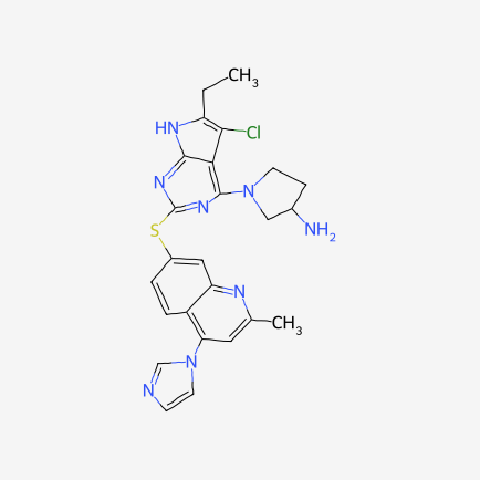 CCc1[nH]c2nc(Sc3ccc4c(-n5ccnc5)cc(C)nc4c3)nc(N3CCC(N)C3)c2c1Cl